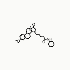 COc1ccc2c(c1)CCC1C2CC[C@]2(C)C(=O)C[C@@H](CCCCC(=O)NC3CCCCC3)C12